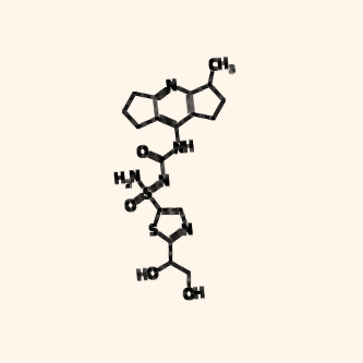 CC1CCc2c1nc1c(c2NC(=O)N=S(N)(=O)c2cnc(C(O)CO)s2)CCC1